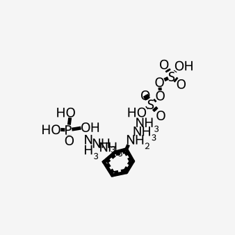 N.N.N.N.N.Nc1ccccc1.O=P(O)(O)O.O=S(=O)(O)OOS(=O)(=O)O